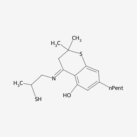 CCCCCc1cc(O)c2c(c1)SC(C)(C)CC2=NCC(C)S